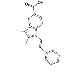 Cc1c(C)n(C=Cc2ccccc2)c2ccc(C(=O)O)cc12